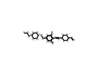 C=CC1CCC(C#Cc2c(F)cc(CC[C@H]3CC[C@H](CCC)CC3)cc2F)CC1